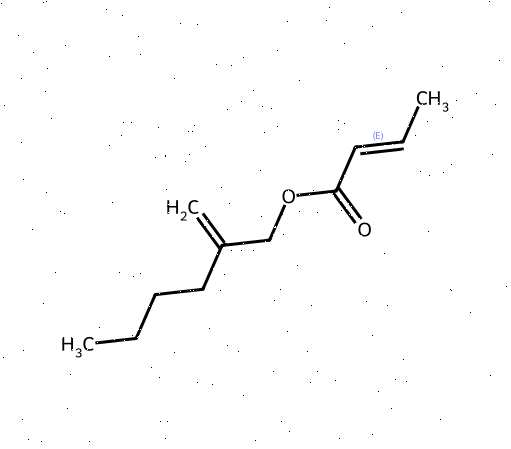 C=C(CCCC)COC(=O)/C=C/C